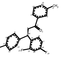 Cc1cc(C(=O)C[C@H](c2ccc(Br)cc2)c2ccc(F)cc2F)ccn1